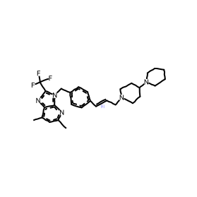 Cc1cc(C)c2nc(C(F)(F)F)n(Cc3ccc(/C=C/CN4CCC(N5CCCCC5)CC4)cc3)c2n1